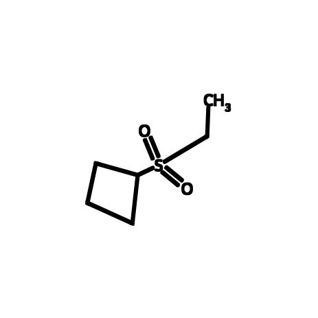 CCS(=O)(=O)C1CCC1